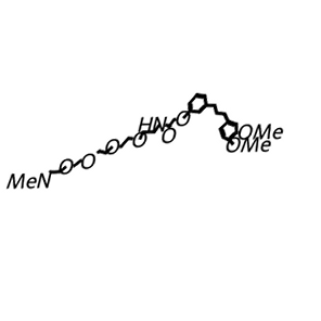 CNCCOCCOCCOCCOCCNC(=O)COc1cccc(CCCc2ccc(OC)c(OC)c2)c1